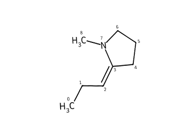 CCC=C1CCCN1C